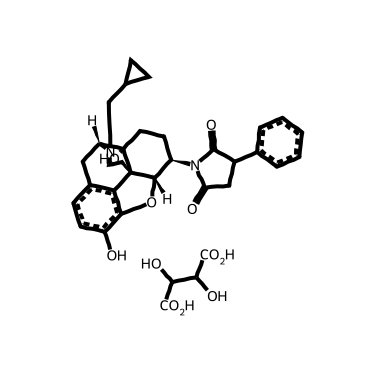 O=C(O)C(O)C(O)C(=O)O.O=C1CC(c2ccccc2)C(=O)N1[C@@H]1CC[C@@]2(O)[C@H]3Cc4ccc(O)c5c4[C@@]2(CCN3CC2CC2)[C@H]1O5